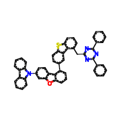 c1ccc(-c2nc(Cc3cccc4sc5ccc(-c6cccc7oc8cc(-n9c%10ccccc%10c%10ccccc%109)ccc8c67)cc5c34)nc(-c3ccccc3)n2)cc1